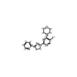 Fc1cnc(N2CCC(c3ccccn3)=N2)nc1N1CCOCC1